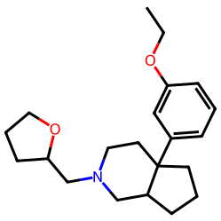 CCOc1cccc(C23CCCC2CN(CC2CCCO2)CC3)c1